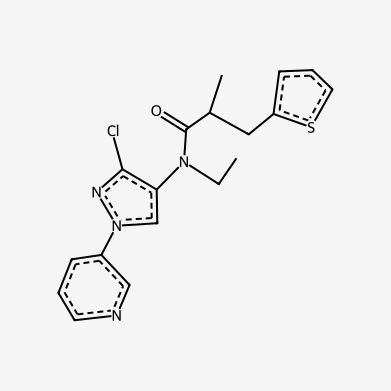 CCN(C(=O)C(C)Cc1cccs1)c1cn(-c2cccnc2)nc1Cl